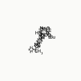 CC(c1ccccc1)c1cnc(N2CCN(c3ncnc(Nc4cnn(C[C@@H]5CN(C(=O)OC(C)(C)C)CCO5)c4)n3)CC2)nc1